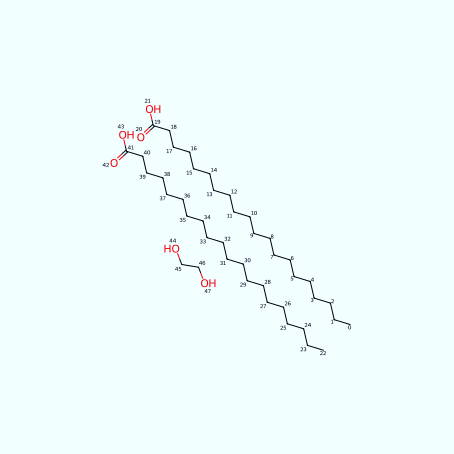 CCCCCCCCCCCCCCCCCCCC(=O)O.CCCCCCCCCCCCCCCCCCCC(=O)O.OCCO